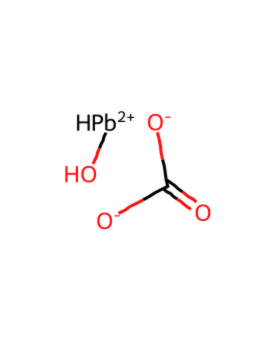 O=C([O-])[O-].[OH][PbH+2]